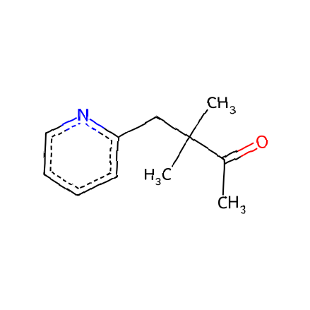 CC(=O)C(C)(C)Cc1ccccn1